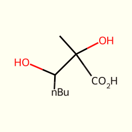 CCCCC(O)C(C)(O)C(=O)O